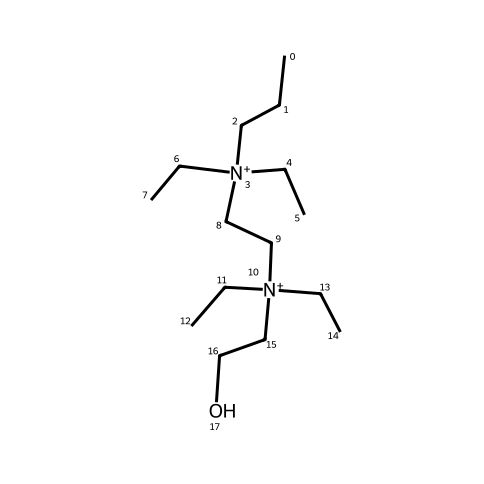 CCC[N+](CC)(CC)CC[N+](CC)(CC)CCO